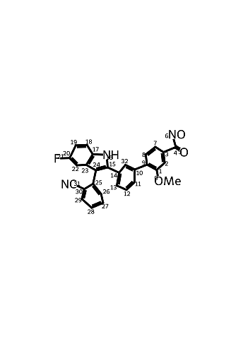 COc1cc(C(=O)N=O)ccc1-c1cccc(-c2[nH]c3ccc(F)cc3c2-c2ccccc2C#N)c1